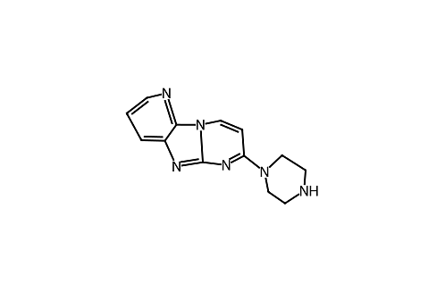 c1cnc2c(c1)nc1nc(N3CCNCC3)ccn12